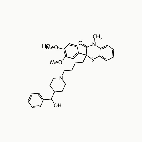 COc1ccc(C2(CCCCN3CCC(C(O)c4ccccc4)CC3)Sc3ccccc3N(C)C2=O)cc1OC.Cl